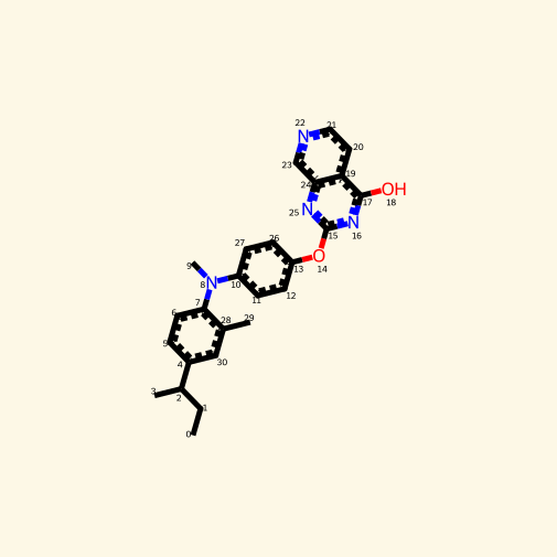 CCC(C)c1ccc(N(C)c2ccc(Oc3nc(O)c4ccncc4n3)cc2)c(C)c1